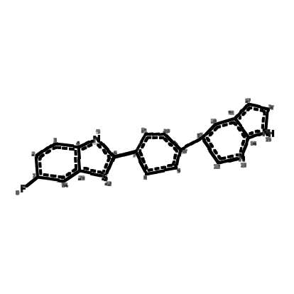 Fc1ccc2nc(-c3ccc(-c4cnc5[nH]ccc5c4)cc3)sc2c1